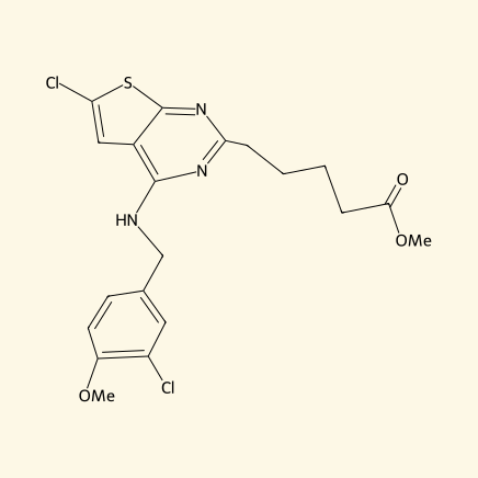 COC(=O)CCCCc1nc(NCc2ccc(OC)c(Cl)c2)c2cc(Cl)sc2n1